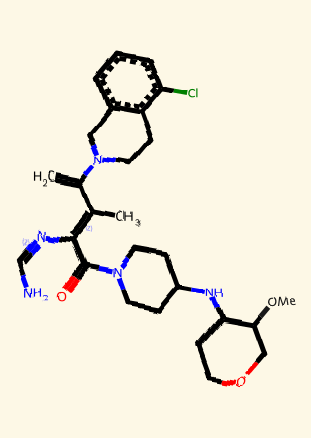 C=C(/C(C)=C(\N=C/N)C(=O)N1CCC(NC2CCOCC2OC)CC1)N1CCc2c(Cl)cccc2C1